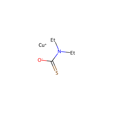 CCN(CC)C([O-])=S.[Cu+]